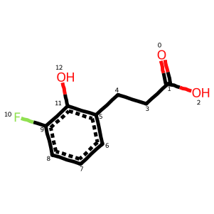 O=C(O)CCc1cccc(F)c1O